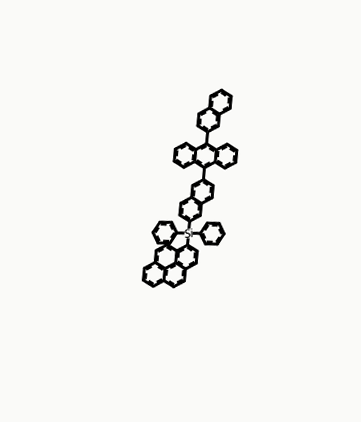 c1ccc([Si](c2ccccc2)(c2ccc3cc(-c4c5ccccc5c(-c5ccc6ccccc6c5)c5ccccc45)ccc3c2)c2ccc3ccc4cccc5ccc2c3c45)cc1